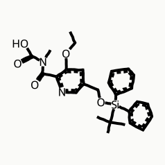 CCOc1cc(CO[Si](c2ccccc2)(c2ccccc2)C(C)(C)C)cnc1C(=O)N(C)C(=O)O